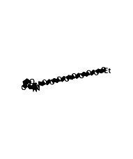 CCOCCOCCOCCOCCOCCOCCOCCOCCOCCn1cc(CN2C(=O)C=CC2=O)nn1